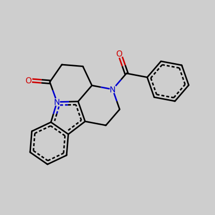 O=C(c1ccccc1)N1CCc2c3n(c4ccccc24)C(=O)CCC31